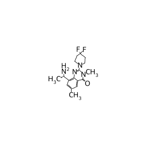 Cc1cc([C@@H](C)N)c2nc(N3CCC(F)(F)CC3)n(C)c(=O)c2c1